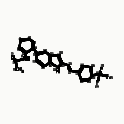 CC(=O)Nc1ccccc1-c1ccc2[nH]c(C=Cc3ccc(C(F)(F)F)cc3)nc2c1